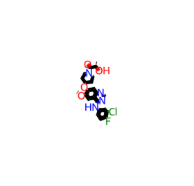 COc1cc2c(Nc3ccc(F)c(Cl)c3)ncnc2cc1OC1CCN(C(=O)[C@H](C)O)CC1